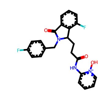 O=C(CCC1c2c(F)cccc2C(=O)N1Cc1ccc(F)cc1)Nc1cccc[n+]1O